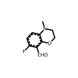 CN1CCOc2c1ccc(F)c2C=O